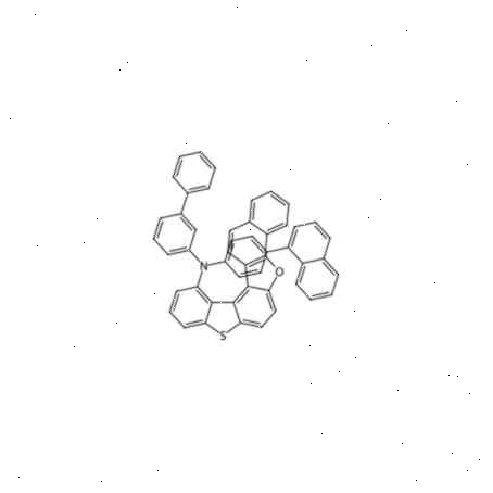 c1ccc(-c2cccc(N(c3ccc(-c4cccc5ccccc45)cc3)c3cccc4sc5ccc6oc7c8ccccc8ccc7c6c5c34)c2)cc1